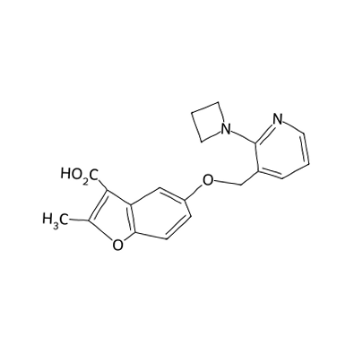 Cc1oc2ccc(OCc3cccnc3N3CCC3)cc2c1C(=O)O